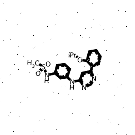 CC(C)Oc1ccccc1-c1cc(Nc2cccc(NS(C)(=O)=O)c2)ncn1